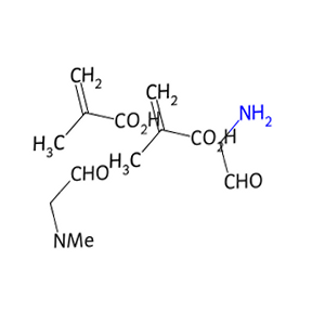 C=C(C)C(=O)O.C=C(C)C(=O)O.CNCC=O.NCC=O